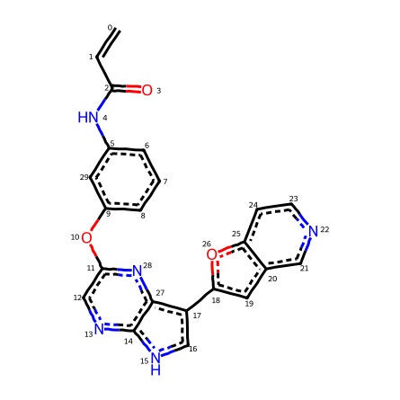 C=CC(=O)Nc1cccc(Oc2cnc3[nH]cc(-c4cc5cnccc5o4)c3n2)c1